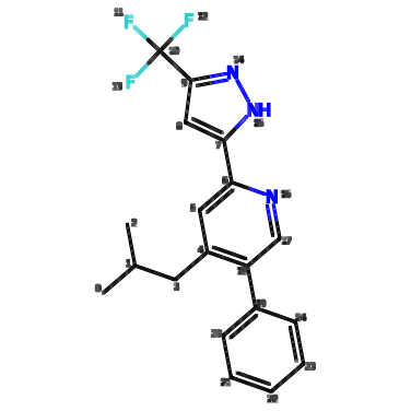 CC(C)Cc1cc(-c2cc(C(F)(F)F)n[nH]2)ncc1-c1ccccc1